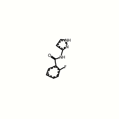 O=C(Nc1cc[nH]n1)c1ccccc1F